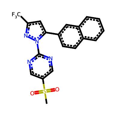 CS(=O)(=O)c1cnc(-n2nc(C(F)(F)F)cc2-c2ccc3ccccc3c2)nc1